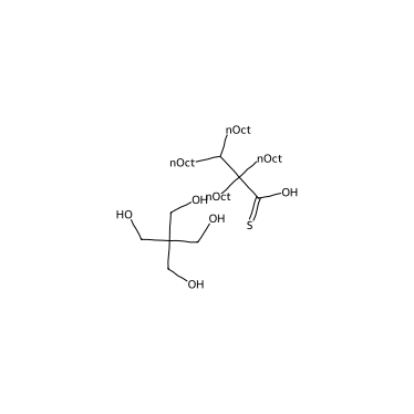 CCCCCCCCC(CCCCCCCC)C(CCCCCCCC)(CCCCCCCC)C(O)=S.OCC(CO)(CO)CO